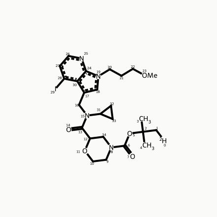 [2H]CC(C)(C)OC(=O)N1CCOC(C(=O)N(Cc2cn(CCCOC)c3nccc(I)c23)C2CC2)C1